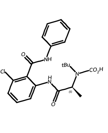 C[C@@H](C(=O)Nc1cccc(Cl)c1C(=O)Nc1ccccc1)N(C(=O)O)C(C)(C)C